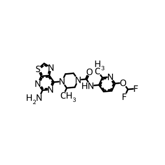 Cc1nc(OC(F)F)ccc1NC(=O)N1CCN(c2nc(N)nc3scnc23)C(C)C1